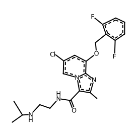 Cc1nc2c(OCc3c(F)cccc3F)cc(Cl)cn2c1C(=O)NCCNC(C)C